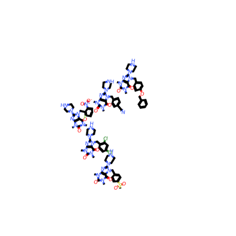 Cn1c(=O)c2c(nc(N3CCNCC3)n2Cc2c(F)cccc2[N+](=O)[O-])n(C)c1=O.Cn1c(=O)c2c(nc(N3CCNCC3)n2Cc2ccc(C#N)cc2)n(C)c1=O.Cn1c(=O)c2c(nc(N3CCNCC3)n2Cc2ccc(Cl)cc2Cl)n(C)c1=O.Cn1c(=O)c2c(nc(N3CCNCC3)n2Cc2ccc(OCc3ccccc3)cc2)n(C)c1=O.Cn1c(=O)c2c(nc(N3CCNCC3)n2Cc2ccc(S(C)(=O)=O)cc2)n(C)c1=O